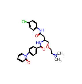 CN(C)CCOCC(CC(=O)Nc1ccc(Cl)cc1)NC(=O)c1ccc(-n2ccccc2=O)cc1